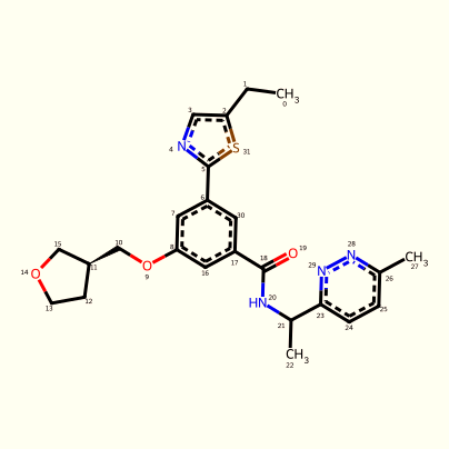 CCc1cnc(-c2cc(OC[C@H]3CCOC3)cc(C(=O)NC(C)c3ccc(C)nn3)c2)s1